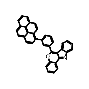 c1cc(-c2oc3ccccc3c3nc4ccccc4c2-3)cc(-c2ccc3ccc4cccc5ccc2c3c45)c1